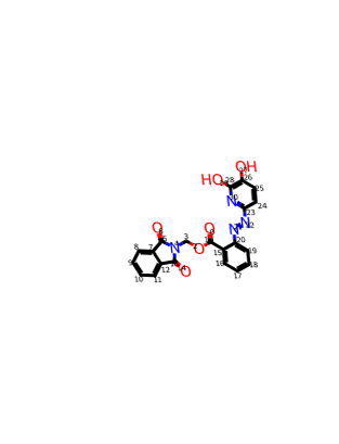 O=C(OCN1C(=O)c2ccccc2C1=O)c1ccccc1N=Nc1ccc(O)c(O)n1